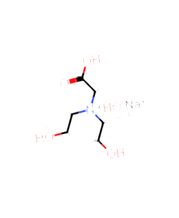 O=C(O)CN(CCO)CCO.[Na+].[OH-]